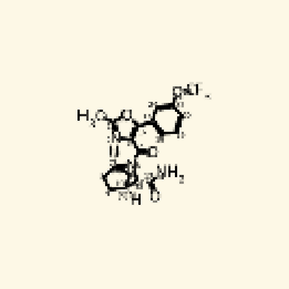 Cc1nc(C(=O)N2[C@@H]3CC[C@@H](C3)[C@H]2C(N)=O)c(-c2cccc(OC(F)(F)F)c2)o1